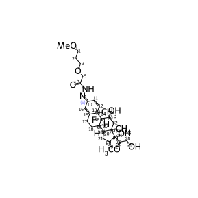 COCCCOCC(=O)N/N=C1\C=C[C@@]2(C)C(=C1)CC[C@H]1[C@@H]3C[C@@H](C)[C@](O)(C(=O)CO)[C@@]3(C)C[C@H](O)[C@@]12F